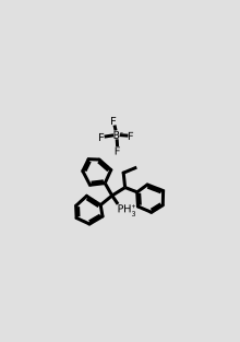 CCC(c1ccccc1)C([PH3+])(c1ccccc1)c1ccccc1.F[B-](F)(F)F